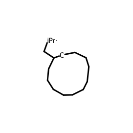 C[C](C)CC1CCCCCCCCCCC1